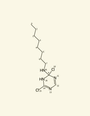 CCCCCCCCNC1(Cl)N=CN=C(Cl)N1